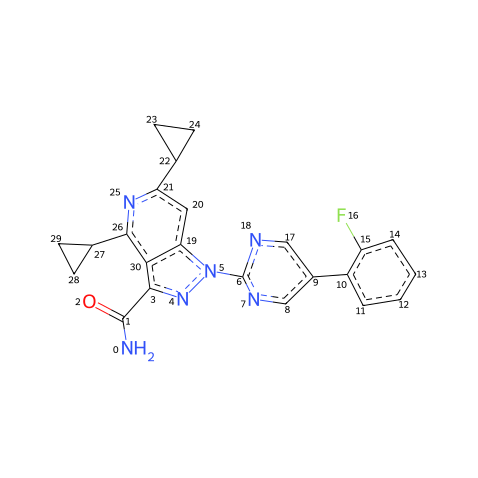 NC(=O)c1nn(-c2ncc(-c3ccccc3F)cn2)c2cc(C3CC3)nc(C3CC3)c12